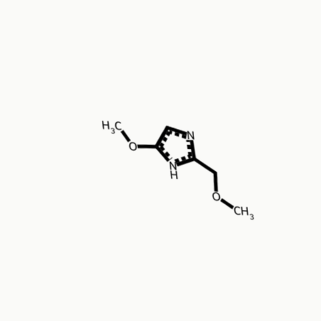 COCc1ncc(OC)[nH]1